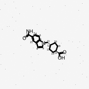 NC(=O)c1ccc2c(ccn2C[C@H]2CC[C@H](C(=O)O)CC2)c1